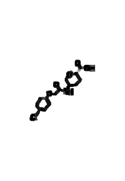 O=C(COc1ccc(Cl)cc1)N[C@@H]1CC[C@@H](C(=O)O)OC1